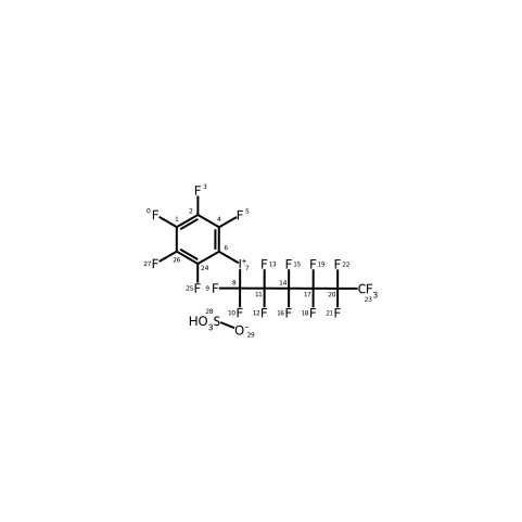 Fc1c(F)c(F)c([I+]C(F)(F)C(F)(F)C(F)(F)C(F)(F)C(F)(F)C(F)(F)F)c(F)c1F.O=S(=O)([O-])O